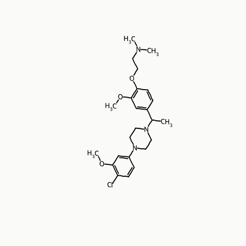 COc1cc(N2CCN(C(C)c3ccc(OCCN(C)C)c(OC)c3)CC2)ccc1Cl